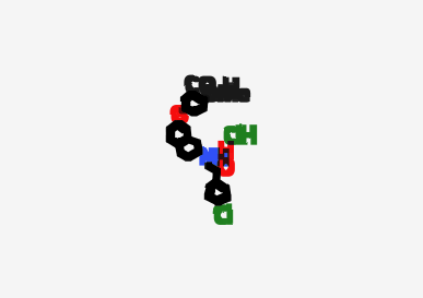 COc1ccc(Oc2ccc3c(c2)C[C@@H](NC[C@@H](O)c2ccc(Cl)cc2)CC3)cc1C(=O)O.Cl